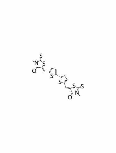 CN1C(=O)/C(=C/c2ccc(-c3ccc(/C=C4\SC(=S)N(C)C4=O)s3)s2)SC1=S